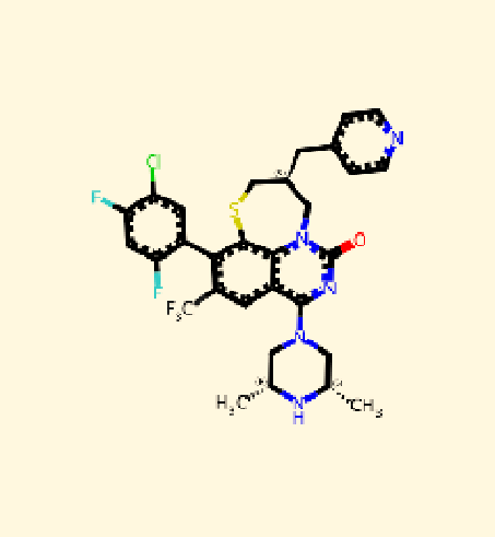 C[C@@H]1CN(c2nc(=O)n3c4c(c(-c5cc(Cl)c(F)cc5F)c(C(F)(F)F)cc24)SC[C@@H](Cc2ccncc2)C3)C[C@H](C)N1